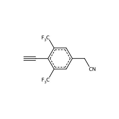 C#Cc1c(C(F)(F)F)cc(CC#N)cc1C(F)(F)F